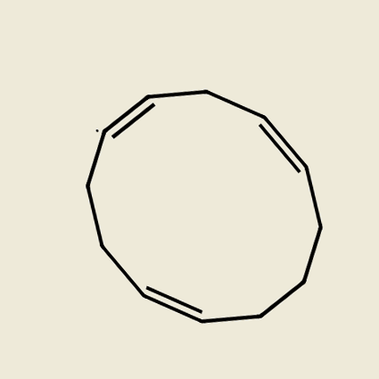 [C]1=CCC=CCCCC=CCC1